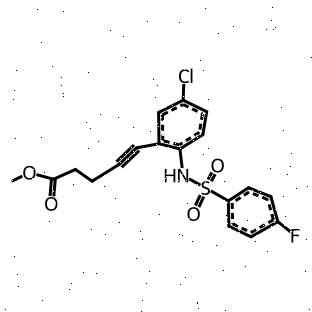 COC(=O)CCC#Cc1cc(Cl)ccc1NS(=O)(=O)c1ccc(F)cc1